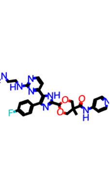 CC1(C(=O)Nc2ccncc2)COC(c2nc(-c3ccc(F)cc3)c(-c3ccnc(NCCN)n3)[nH]2)OC1